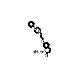 CCCCCCN1C(=O)CCc2ccc(OCCCN3CCN(c4ccccc4)CC3)cc21